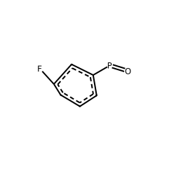 O=Pc1cccc(F)c1